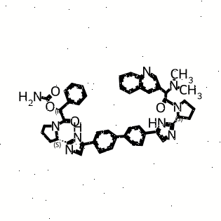 CN(C)C(C(=O)N1CCC[C@H]1c1ncc(-c2ccc(-c3ccc(-c4cnc([C@@H]5CCCN5C(=O)[C@H](OC(N)=O)c5ccccc5)[nH]4)cc3)cc2)[nH]1)c1cnc2ccccc2c1